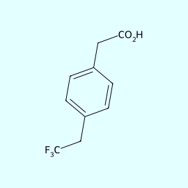 O=C(O)Cc1ccc(CC(F)(F)F)cc1